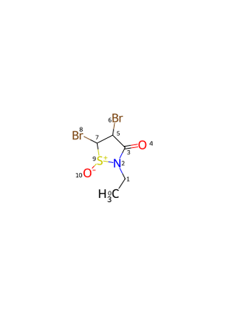 CCN1C(=O)C(Br)C(Br)[S+]1[O-]